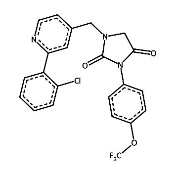 O=C1CN(Cc2ccnc(-c3ccccc3Cl)c2)C(=O)N1c1ccc(OC(F)(F)F)cc1